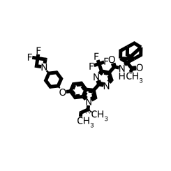 CC[C@@H](C)n1cc(-c2ncc(C(=O)NC3(C(C)=O)C4CC5CC(C4)CC3C5)c(C(F)(F)F)n2)c2ccc(O[C@H]3CC[C@H](N4CC(F)(F)C4)CC3)cc21